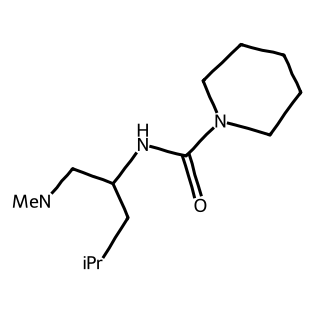 CNCC(CC(C)C)NC(=O)N1CCCCC1